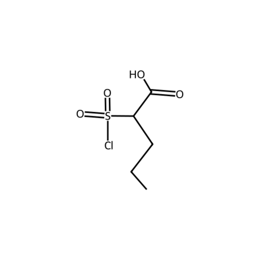 CCCC(C(=O)O)S(=O)(=O)Cl